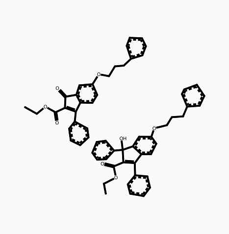 CCOC(=O)C1=C(c2ccccc2)c2ccc(OCCCc3ccccc3)cc2C1(O)c1ccccc1.CCOC(=O)C1=C(c2ccccc2)c2ccc(OCCCc3ccccc3)cc2C1=O